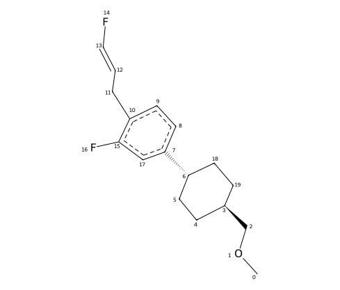 COC[C@H]1CC[C@H](c2ccc(CC=CF)c(F)c2)CC1